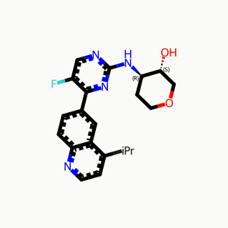 CC(C)c1ccnc2ccc(-c3nc(N[C@@H]4CCOC[C@H]4O)ncc3F)cc12